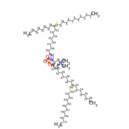 CCCCCCCCCCCCSC(CCCCCCCC)CCCCCCCCCOP(=O)(NCC[N+](C)(C)C)OCCCCCCCCCC(CCCCCCCC)SCCCCCCCCCCCC